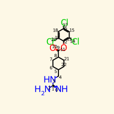 N=C(N)NCC1CCC(C(=O)Oc2c(Cl)cc(Cl)cc2Cl)CC1